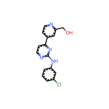 OCc1cc(-c2ccnc(Nc3cccc(Cl)c3)n2)ccn1